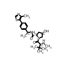 CN[C@H](C(=O)N1C[C@H](O)C[C@H]1C(=O)N[C@@H](C)c1ccc(-c2scnc2C)cc1)C(C)(C)C